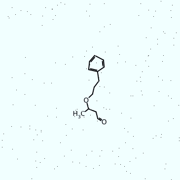 CC(CC=O)OCCCc1ccccc1